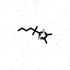 CCCCC(C)(C)c1nc(C)c(C)s1